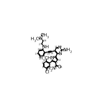 Cc1ccc(Cl)cc1-c1[nH]c(-c2nc(N)ncc2C#Cc2ccccc2NCCN(C)C)cc1C(N)=O